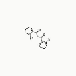 O=C(CC(=O)c1ccccc1Br)c1ccccc1Br